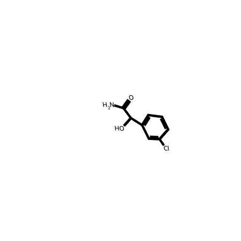 NC(=O)C(O)c1cccc(Cl)c1